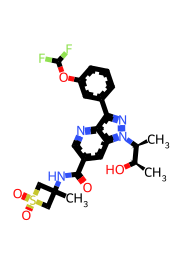 C[C@@H](O)[C@H](C)n1nc(-c2cccc(OC(F)F)c2)c2ncc(C(=O)NC3(C)CS(=O)(=O)C3)cc21